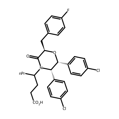 CCCC(CCC(=O)O)N1C(=O)[C@@H](Cc2ccc(F)cc2)O[C@H](c2ccc(Cl)cc2)[C@@H]1c1ccc(Cl)cc1